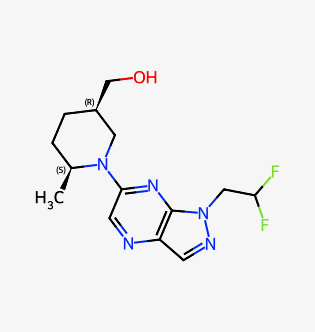 C[C@H]1CC[C@@H](CO)CN1c1cnc2cnn(CC(F)F)c2n1